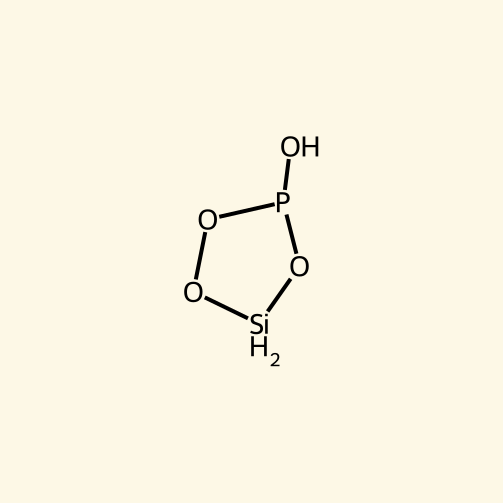 OP1OO[SiH2]O1